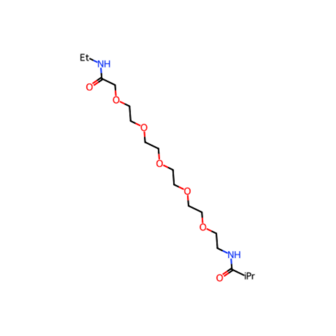 CCNC(=O)COCCOCCOCCOCCOCCNC(=O)C(C)C